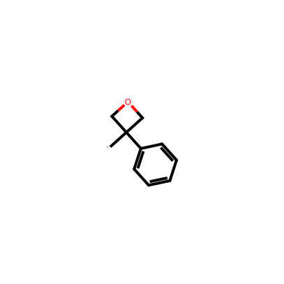 [CH2]C1(c2ccccc2)COC1